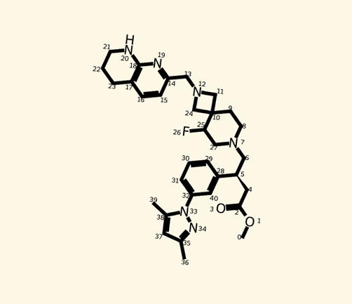 COC(=O)C[C@H](CN1CCC2(CN(Cc3ccc4c(n3)NCCC4)C2)C(F)C1)c1cccc(-n2nc(C)cc2C)c1